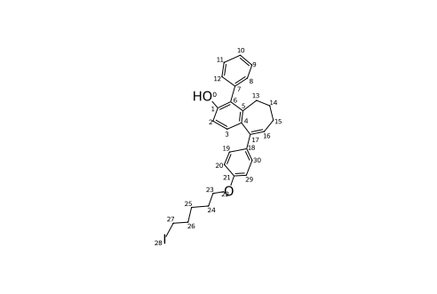 Oc1ccc2c(c1-c1ccccc1)CCCC=C2c1ccc(OCCCCCI)cc1